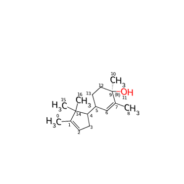 CC1=CCC(C2C=C(C)[C@](C)(O)CC2)C1(C)C